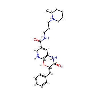 CCC1CCCCN1CCCNC(=O)c1cnc2c(c1)NC(=O)C(=Cc1ccccc1)O2